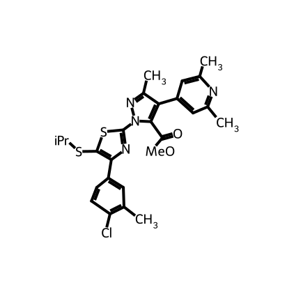 COC(=O)c1c(-c2cc(C)nc(C)c2)c(C)nn1-c1nc(-c2ccc(Cl)c(C)c2)c(SC(C)C)s1